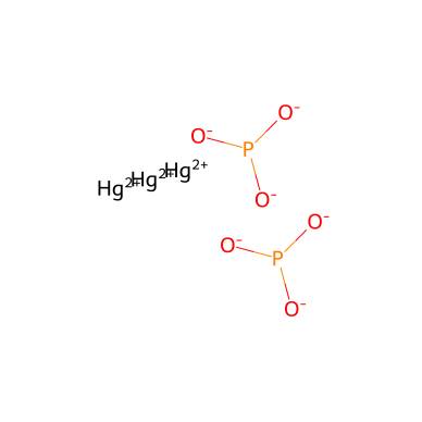 [Hg+2].[Hg+2].[Hg+2].[O-]P([O-])[O-].[O-]P([O-])[O-]